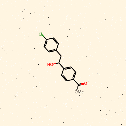 COC(=O)c1ccc(C(O)Cc2ccc(Cl)cc2)cc1